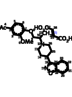 COc1cc(C(C)=O)ccc1OCC(C)N1CCC(c2noc3ccccc23)CC1.O=C(O)/C=C/C(=O)O